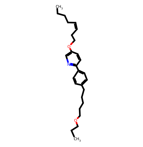 CCCC/C=C\CCOc1ccc(-c2ccc(CCCCCOCCC)cc2)nc1